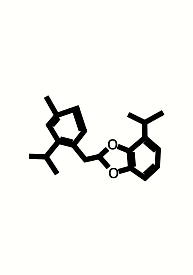 Cc1ccc(CC2Oc3cccc(C(C)C)c3O2)c(C(C)C)c1